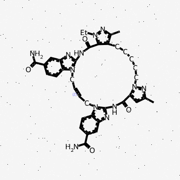 CCn1nc(C)c2c1C(=O)Nc1nc3cc(C(N)=O)ccc3n1C/C=C\Cn1c(nc3cc(C(N)=O)ccc31)NC(=O)c1cc(C)nn1CCCCC2